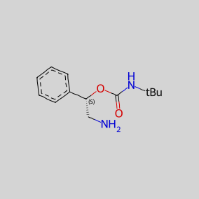 CC(C)(C)NC(=O)O[C@H](CN)c1ccccc1